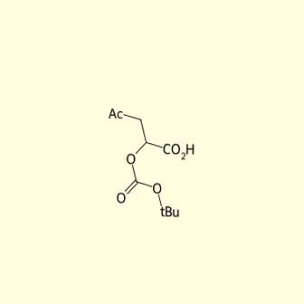 CC(=O)CC(OC(=O)OC(C)(C)C)C(=O)O